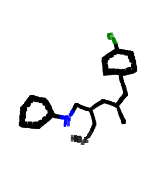 C[C@H](Cc1ccc(Cl)cc1)C[C@H](CNc1ccccc1)CC(=O)O